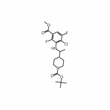 COC(=O)c1cc(F)c(Cl)c(NC(C)C2CCN(C(=O)OC(C)(C)C)CC2)c1F